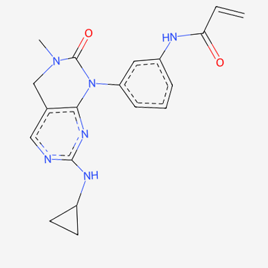 C=CC(=O)Nc1cccc(N2C(=O)N(C)Cc3cnc(NC4CC4)nc32)c1